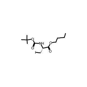 CCCCOC(=O)[C@H](CI)NC(=O)OC(C)(C)C